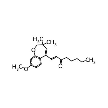 CCCCCC(=O)/C=C/C1=CC(C)(C)COc2cc(OC)ccc21